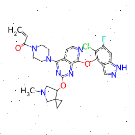 C=CC(=O)N1CCN(c2nc(OC3CN(C)CC34CC4)nc3c(Oc4c(Cl)c(F)cc5[nH]ncc45)nccc23)CC1